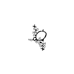 CC1CC/C=C\C2C[C@@]2(C(=O)NS(=O)(=O)C2(C)CC2)NC(=O)[C@@H]2C[C@@H](O)CC2C(=O)[C@@H](NC(=O)OC(C)(C)C)[C@H](C)C1